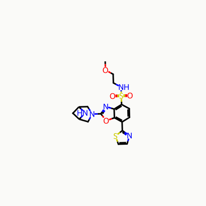 COCCNS(=O)(=O)c1ccc(-c2nccs2)c2oc(N3CC4CC(C3)N4)nc12